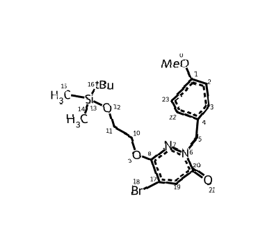 COc1ccc(Cn2nc(OCCO[Si](C)(C)C(C)(C)C)c(Br)cc2=O)cc1